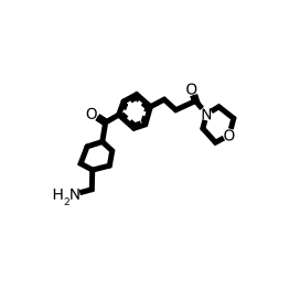 NCC1CCC(C(=O)c2ccc(CCC(=O)N3CCOCC3)cc2)CC1